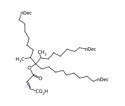 CCCCCCCCCCCCCCCCCCCC(OC(=O)/C=C\C(=O)O)(C(C)CCCCCCCCCCCCCCCC)C(C)CCCCCCCCCCCCCCCC